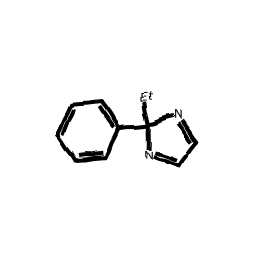 CCC1(c2ccccc2)N=CC=N1